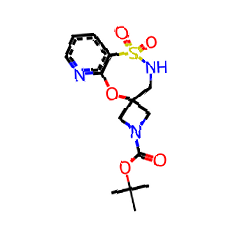 CC(C)(C)OC(=O)N1CC2(CNS(=O)(=O)c3cccnc3O2)C1